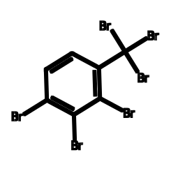 Brc1ccc(C(Br)(Br)Br)c(Br)c1Br